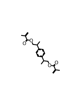 C=C(C)C(=O)OCC(C)c1ccc(C(C)COC(=O)C(=C)C)cc1